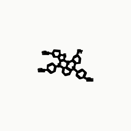 CC(C)c1ccc2c(c1)B1c3sc4ccc(C(C)(C)C)cc4c3N(c3ccc(C(C)(C)C)cc3)c3cccc(c31)N2c1ccc(C(C)(C)C)cc1